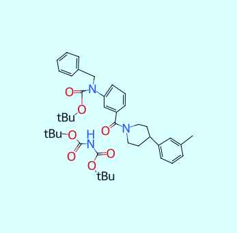 CC(C)(C)OC(=O)NC(=O)OC(C)(C)C.Cc1cccc(C2CCN(C(=O)c3cccc(N(Cc4ccccc4)C(=O)OC(C)(C)C)c3)CC2)c1